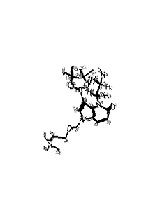 [2H]C([2H])([2H])C([2H])([2H])n1c(=O)ccc2c1c(B1OC(C)(C)C(C)(C)O1)cn2COCC[Si](C)(C)C